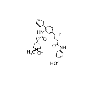 C[N+]1(C)CCC(OC(=O)Nc2cc(CCCC(=O)Nc3ccc(CO)cc3)ccc2-c2ccccc2)CC1.[I-]